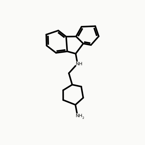 NC1CCC(CNC2c3ccccc3-c3ccccc32)CC1